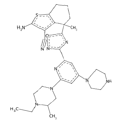 CCN1CCN(c2cc(N3CCNCC3)cc(-c3noc(C4(C)CCCc5sc(N)c(C#N)c54)n3)n2)CC1C